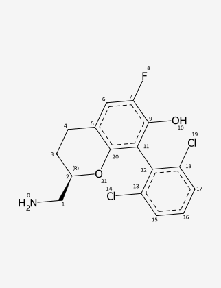 NC[C@H]1CCc2cc(F)c(O)c(-c3c(Cl)cccc3Cl)c2O1